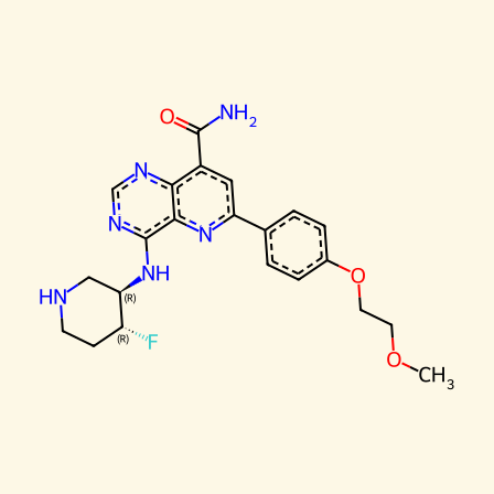 COCCOc1ccc(-c2cc(C(N)=O)c3ncnc(N[C@@H]4CNCC[C@H]4F)c3n2)cc1